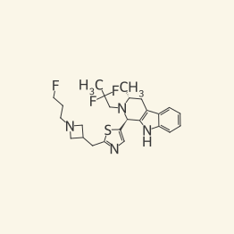 C[C@@H]1Cc2c([nH]c3ccccc23)[C@@H](c2cnc(CC3CN(CCCF)C3)s2)N1CC(C)(F)F